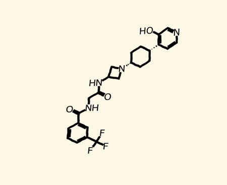 O=C(CNC(=O)c1cccc(C(F)(F)F)c1)NC1CN([C@H]2CC[C@@H](c3ccncc3O)CC2)C1